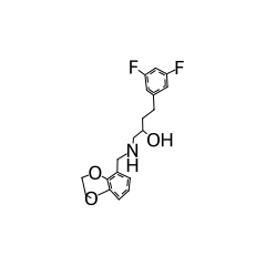 OC(CCc1cc(F)cc(F)c1)CNCc1cccc2c1OCCO2